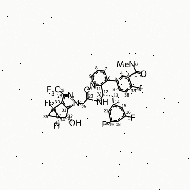 CNC(=O)c1cc(-c2cccnc2[C@H](Cc2cc(F)cc(F)c2)NC(=O)Cn2nc(C(F)(F)F)c3c2[C@H](O)[C@H]2C[C@@H]32)ccc1F